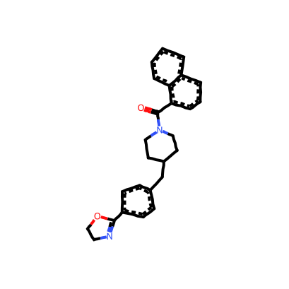 O=C(c1cccc2ccccc12)N1CCC(Cc2ccc(C3=NCCO3)cc2)CC1